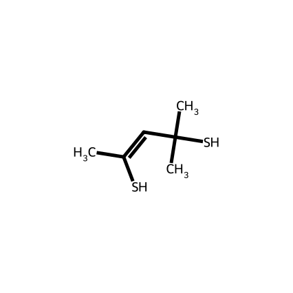 C/C(S)=C/C(C)(C)S